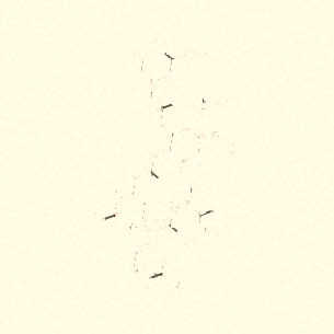 CCCCCCCCCCC[C@H](CC(=O)NC1C(NC(=O)C[C@@H](CCCCCCCCCCC)OC(=O)CCCCCCCCC)[C@H](OP(=O)(O)O)C(CO)O[C@H]1OC[C@H](NC(=O)C[C@@H](CCCCCCCCCCC)OC(=O)CCCCCCCCC)C(=O)OC)OC(=O)CCCCCCCCC